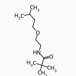 CC(C)CCOCCNC(=O)C(C)(C)C